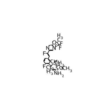 COC[C@@]1(C)SC(N)=N[C@](C)(c2cc(/C=C(\F)c3cnc(OC(C)C(F)(F)F)cn3)ccc2F)[C@@H]1C